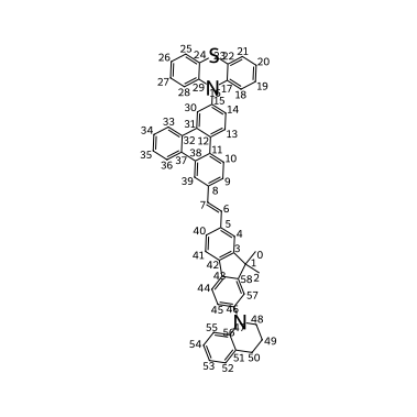 CC1(C)c2cc(/C=C/c3ccc4c5ccc(N6c7ccccc7Sc7ccccc76)cc5c5ccccc5c4c3)ccc2-c2ccc(N3CCCc4ccccc43)cc21